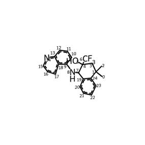 CC1(C)CC(O)(C(F)(F)F)C(Nc2cccc3ncccc23)c2ccccc21